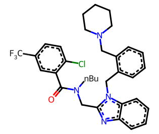 CCCCN(Cc1nc2ccccc2n1Cc1ccccc1CN1CCCCC1)C(=O)c1cc(C(F)(F)F)ccc1Cl